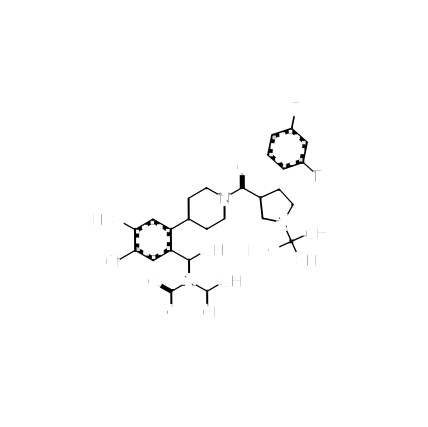 CC(=O)N(C(C)C)C(C)c1cc(Cl)c(C)cc1C1CCN(C(=O)C2CN(C(C)(C)C)C[C@H]2c2ccc(F)cc2F)CC1